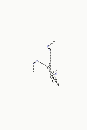 CC/C=C\CC1C(CC(=O)OCC(COCCCCCCCC/C=C\C/C=C\CCCCC)OCCCCCCCC/C=C\C/C=C\CCCCC)CCC1OC(=O)OCCN(C)C